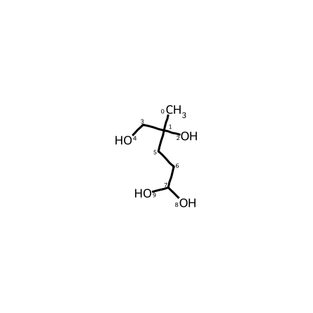 CC(O)(CO)CCC(O)O